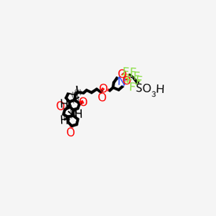 C[C@@H](CCCCC(=O)OCC1CCN(S(=O)(=O)C(F)(F)C(F)(F)C(F)(F)S(=O)(=O)O)CC1)[C@@H]1CCC2[C@H]3C(=O)C[C@H]4CC(=O)CC[C@@]4(C)[C@@H]3CC(=O)[C@]21C